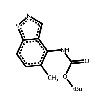 Cc1ccc2sncc2c1NC(=O)OC(C)(C)C